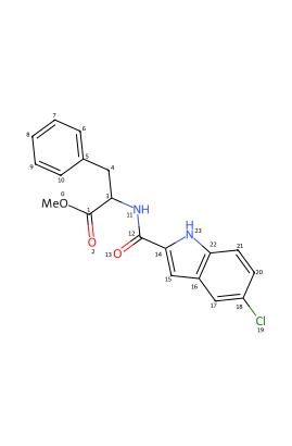 COC(=O)C(Cc1ccccc1)NC(=O)c1cc2cc(Cl)ccc2[nH]1